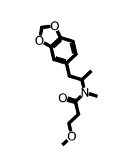 COCCC(=O)N(C)C(C)Cc1ccc2c(c1)OCO2